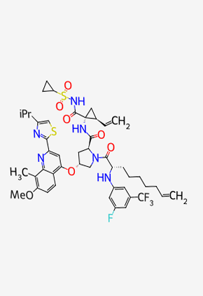 C=CCCCCC[C@H](Nc1cc(F)cc(C(F)(F)F)c1)C(=O)N1C[C@H](Oc2cc(-c3nc(C(C)C)cs3)nc3c(C)c(OC)ccc23)C[C@H]1C(=O)N[C@]1(C(=O)NS(=O)(=O)C2CC2)C[C@H]1C=C